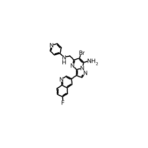 Nc1c(Br)c(CNc2ccncc2)nc2c(-c3cnc4ccc(F)cc4c3)cnn12